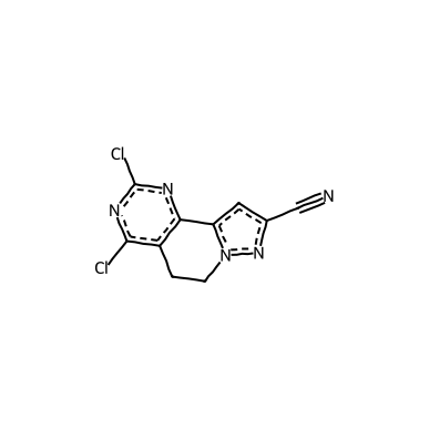 N#Cc1cc2n(n1)CCc1c(Cl)nc(Cl)nc1-2